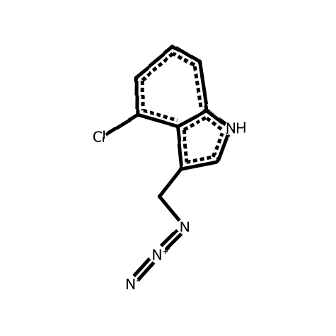 [N-]=[N+]=NCc1c[nH]c2cccc(Cl)c12